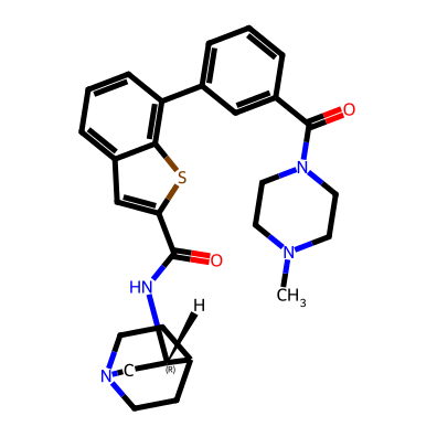 CN1CCN(C(=O)c2cccc(-c3cccc4cc(C(=O)N[C@H]5CN6CCC5CC6)sc34)c2)CC1